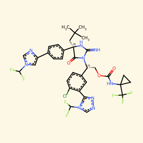 CC(C)(C)C[C@]1(c2ccc(-c3cn(C(F)F)cn3)cc2)NC(=N)N([C@H](COC(=O)NC2(C(F)(F)F)CC2)c2ccc(Cl)c(-c3nncn3C(F)F)c2)C1=O